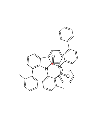 Cc1ccccc1-c1cccc2c3cccc(-c4ccccc4C)c3n(-c3cccc(C)c3C(=O)N(C=O)c3cccc(-c4ccccc4)c3)c12